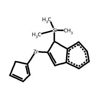 C[Si](C)(C)C1[C]([Zr][C]2=CC=CC2)=Cc2ccccc21